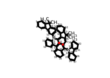 CC1(C)c2ccccc2-c2cc(N(c3ccccc3-c3ccc(-n4c5ccccc5c5ccccc54)c4ccccc34)c3cccc4c3-c3ccccc3C4(C)C)ccc21